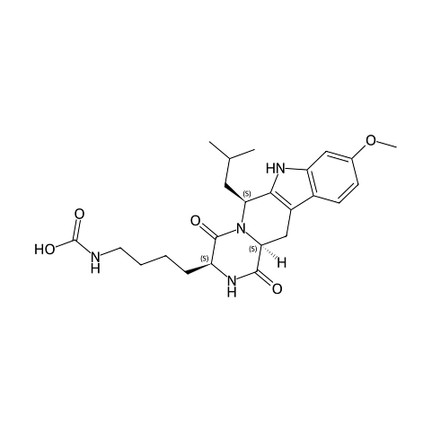 COc1ccc2c3c([nH]c2c1)[C@H](CC(C)C)N1C(=O)[C@H](CCCCNC(=O)O)NC(=O)[C@@H]1C3